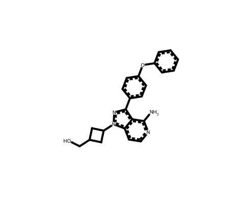 Nc1nccc2c1c(-c1ccc(Oc3ccccc3)cc1)nn2C1CC(CO)C1